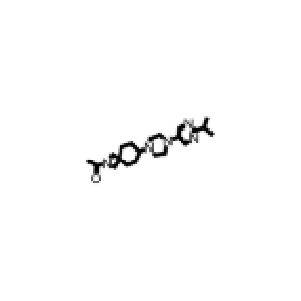 CC(=O)N1CC2(CCC(N3CCN(c4cnc(C(C)C)nc4)CC3)CC2)C1